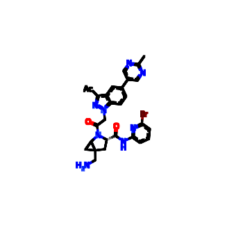 CC(=O)c1nn(CC(=O)N2C3CC3(CN)C[C@H]2C(=O)Nc2cccc(Br)n2)c2ccc(-c3cnc(C)nc3)cc12